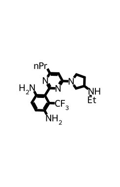 CCCc1cc(N2CCC(NCC)C2)nc(-c2c(N)ccc(N)c2C(F)(F)F)n1